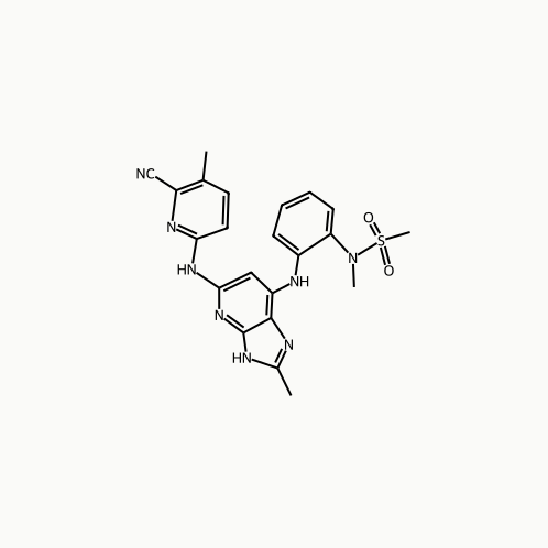 Cc1nc2c(Nc3ccccc3N(C)S(C)(=O)=O)cc(Nc3ccc(C)c(C#N)n3)nc2[nH]1